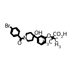 CC(C)(Oc1cccc(C2(O)CCN(C(=O)c3ccc(Br)cc3)CC2)c1)C(=O)O